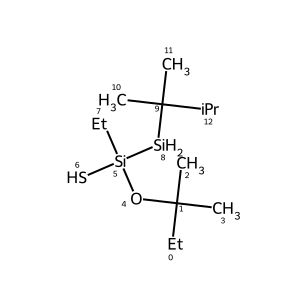 CCC(C)(C)O[Si](S)(CC)[SiH2]C(C)(C)C(C)C